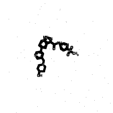 CS(=O)(=O)c1ccc(NC(=O)c2n[nH]c3ccc(-c4cncc(CN5CCC(O)CC5)c4)cc23)cn1